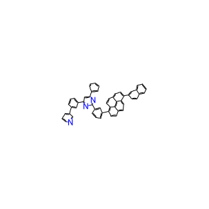 c1ccc(-c2cc(-c3cccc(-c4cccnc4)c3)nc(-c3cccc(-c4ccc5ccc6c(-c7ccc8ccccc8c7)ccc7ccc4c5c76)c3)n2)cc1